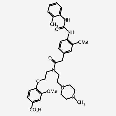 COc1cc(CC(=O)N(CCOc2ccc(C(=O)O)cc2OC)CCN2CCN(C)CC2)ccc1NC(=O)Nc1ccccc1C